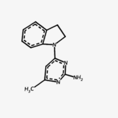 Cc1cc(N2CCc3ccccc32)nc(N)n1